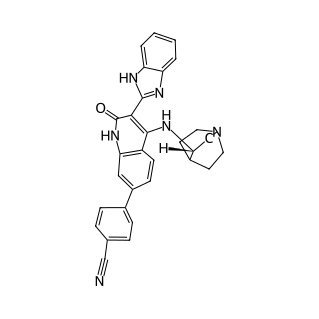 N#Cc1ccc(-c2ccc3c(N[C@@H]4CN5CCC4CC5)c(-c4nc5ccccc5[nH]4)c(=O)[nH]c3c2)cc1